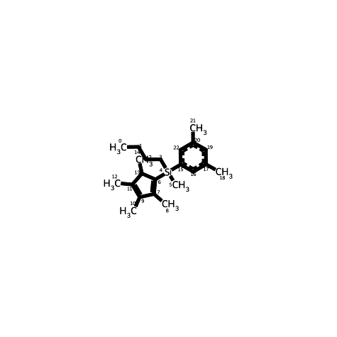 CCCC[Si](C)(C1=C(C)C(C)=C(C)C1C)c1cc(C)cc(C)c1